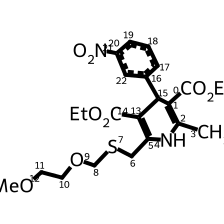 CCOC(=O)C1=C(C)NC(CSCOCCOC)=C(C(=O)OCC)C1c1cccc([N+](=O)[O-])c1